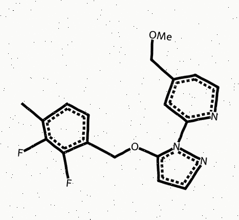 COCc1ccnc(-n2nccc2OCc2ccc(C)c(F)c2F)c1